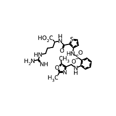 Cc1nc(CNc2ccccc2S(=O)(=O)Nc2ccsc2C(=O)N[C@@H](CCCNC(=N)N)C(=O)O)c(C)o1